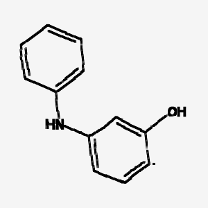 Oc1[c]ccc(Nc2ccccc2)c1